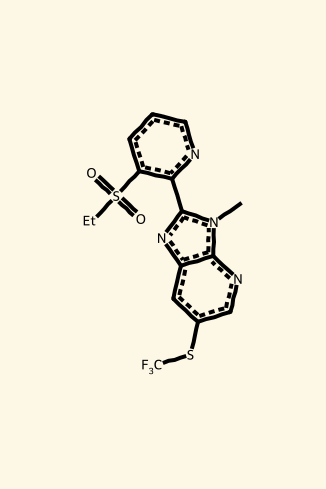 CCS(=O)(=O)c1cccnc1-c1nc2cc(SC(F)(F)F)cnc2n1C